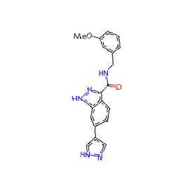 COc1cccc(CNC(=O)c2n[nH]c3cc(-c4cn[nH]c4)ccc23)c1